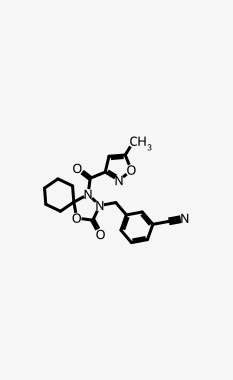 Cc1cc(C(=O)N2N(Cc3cccc(C#N)c3)C(=O)OC23CCCCC3)no1